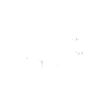 CNc1cc(C(O)CNC(C)(C)C)ccc1O